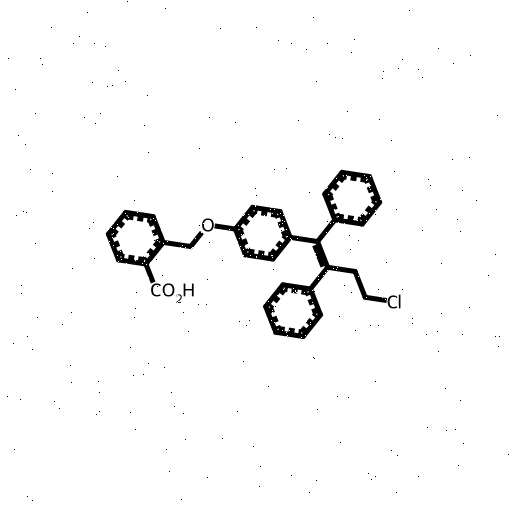 O=C(O)c1ccccc1COc1ccc(C(=C(CCCl)c2ccccc2)c2ccccc2)cc1